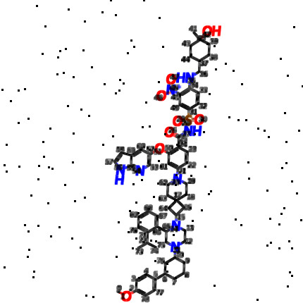 COc1ccc(C2CCCC(N3CCN(C4CC5(CCN(c6ccc(C(=O)NS(=O)(=O)c7ccc(NCC8CCC(C)(O)CC8)c([N+](=O)[O-])c7)c(Oc7cnc8[nH]ccc8c7)c6)CC5)C4)C(c4ccccc4C(C)C)C3)C2)cc1